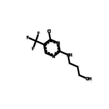 OCCCNc1ncc(C(F)(F)F)c(Cl)n1